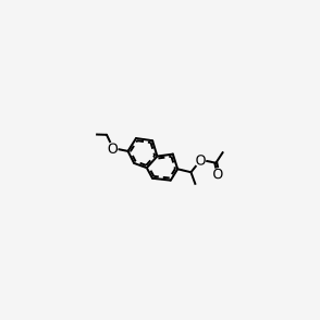 CCOc1ccc2cc(C(C)OC(C)=O)ccc2c1